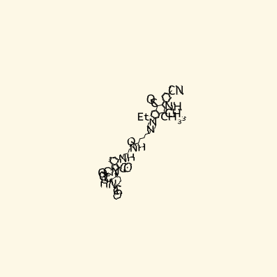 CCc1cc2c(cc1N1CCN(CCCCCC(=O)NCCCNc3cccc4c(=C=O)n(C5CCC(=C=O)NC5=C=O)c(=C=O)c34)CC1)C(C)(C)c1[nH]c3cc(C#N)ccc3c1C2=C=O